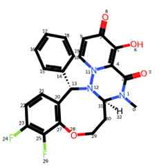 CN1C(=O)c2c(O)c(=O)ccn2N2[C@@H](c3ccccc3)c3ccc(F)c(F)c3OCC[C@H]12